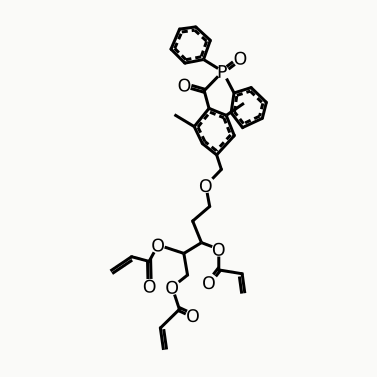 C=CC(=O)OCC(OC(=O)C=C)C(CCOCc1cc(C)c(C(=O)P(=O)(c2ccccc2)c2ccccc2)c(C)c1)OC(=O)C=C